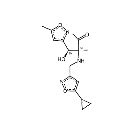 CC(=O)[C@@](C)(NCc1cc(C2CC2)on1)[C@@H](O)c1cc(C)on1